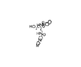 O=C(NCCCC(NS(=O)(=O)c1ccc2ccccc2c1)C(=O)O)C1CCN(c2ccncc2)CC1